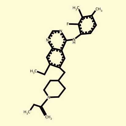 C=C(CC)N1CCC(Cc2cc3c(Nc4ccc(C)c(C)c4F)ncnc3cc2CC)CC1